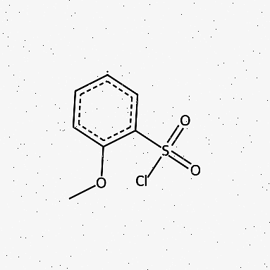 COc1cc[c]cc1S(=O)(=O)Cl